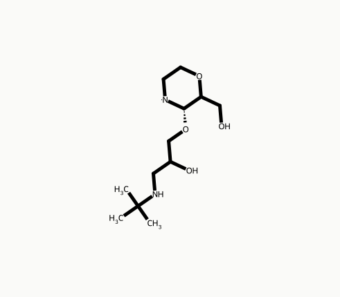 CC(C)(C)NCC(O)CO[C@@H]1[N]CCOC1CO